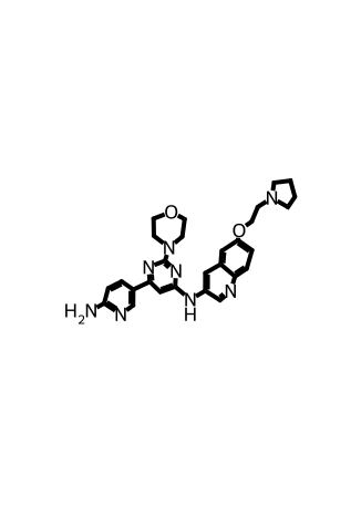 Nc1ccc(-c2cc(Nc3cnc4ccc(OCCN5CCCC5)cc4c3)nc(N3CCOCC3)n2)cn1